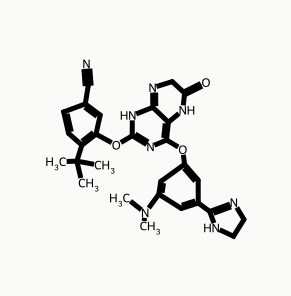 CN(C)c1cc(OC2=C3NC(=O)CN=C3NC(Oc3cc(C#N)ccc3C(C)(C)C)=N2)cc(C2=NCCN2)c1